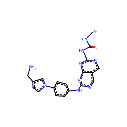 CC(C)NC(=O)Nc1ncc2cnc(Nc3ccc(-n4ccc(CN)c4)cc3)nc2n1